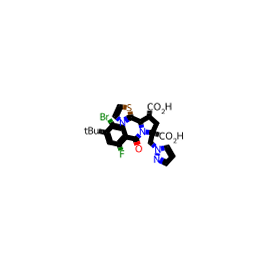 CC(C)(C)c1cc(F)c(C(=O)N2C(c3nccs3)C(C(=O)O)CC2(Cn2cccn2)C(=O)O)cc1Br